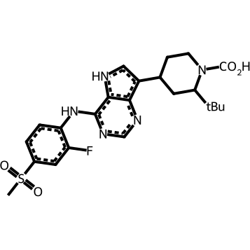 CC(C)(C)C1CC(c2c[nH]c3c(Nc4ccc(S(C)(=O)=O)cc4F)ncnc23)CCN1C(=O)O